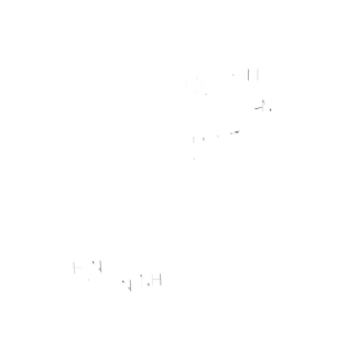 CC1C=C2C=C3[C@@H](O)[C@H](O)[C@@H](N(C)C)C[C@]34CC[C@]2(O4)C2CC=C(c3ccc4c(N)n[nH]c4c3)[C@@]12C